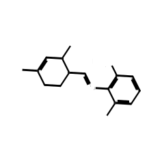 CC1=CC(C)C(C=Nc2c(C)cccc2C(=O)O)CC1